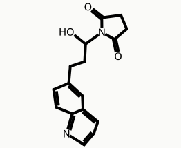 O=C1CCC(=O)N1C(O)CCc1ccc2ncccc2c1